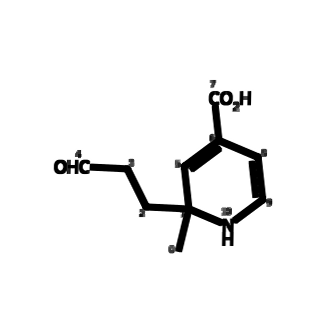 CC1(CCC=O)C=C(C(=O)O)C=CN1